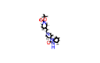 CC(C)(C)OC(=O)N1CCCC(CCN2CCC(n3c(=O)[nH]c4ccccc43)CC2)CC1